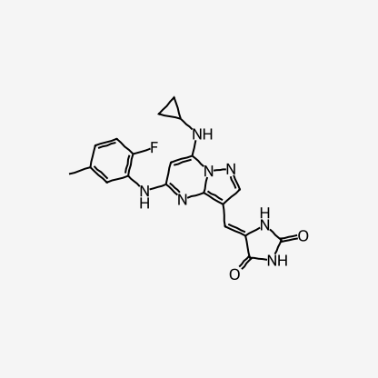 Cc1ccc(F)c(Nc2cc(NC3CC3)n3ncc(/C=C4\NC(=O)NC4=O)c3n2)c1